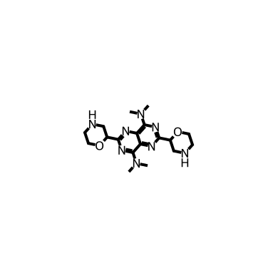 CN(C)c1nc(C2CNCCO2)nc2c(N(C)C)nc(C3CNCCO3)nc12